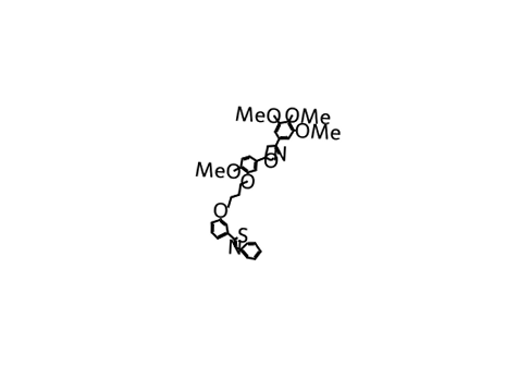 COc1ccc(C2CC(c3cc(OC)c(OC)c(OC)c3)=NO2)cc1OCCCCOc1cccc(-c2nc3ccccc3s2)c1